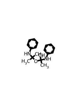 CC(C)(Nc1ccccc1)OC(C)(C)Nc1ccccc1